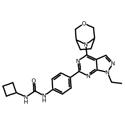 CCn1ncc2c(N3C4CCC3COC4)nc(-c3ccc(NC(=O)NC4CCC4)cc3)nc21